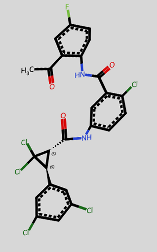 CC(=O)c1cc(F)ccc1NC(=O)c1cc(NC(=O)[C@@H]2[C@@H](c3cc(Cl)cc(Cl)c3)C2(Cl)Cl)ccc1Cl